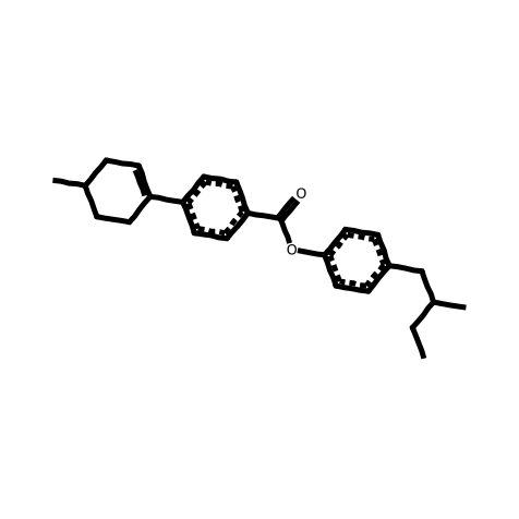 CCC(C)Cc1ccc(OC(=O)c2ccc(C3=CCC(C)CC3)cc2)cc1